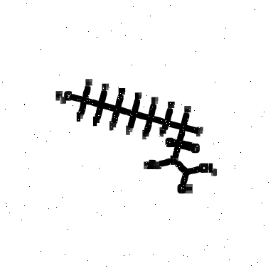 CCCCN(C(C)O)S(=O)(=O)C(F)(F)C(F)(F)C(F)(F)C(F)(F)C(F)(F)C(F)(F)C(F)(F)C(F)(F)F